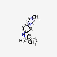 CN1CCN(C2CCCc3ncc(C(C)(C)C)cc3CC2)CC1